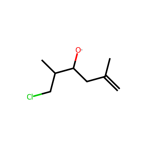 C=C(C)CC([O])C(C)CCl